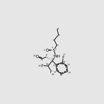 CCCC[S@+]([O-])N[C@@](CC=O)(c1ccccc1F)C(F)F